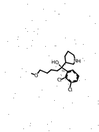 COCCCC[C@@](O)(c1cccc(Cl)c1Cl)C1CCCNC1